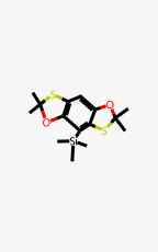 CC1(C)Oc2c(cc3c(c2[Si](C)(C)C)SC(C)(C)O3)S1